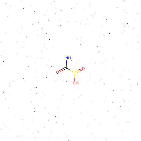 NC(=O)S(=O)O